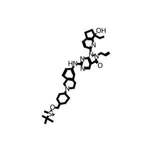 C=CCn1c(=O)c2cnc(Nc3ccc4c(c3)CCN(C3CCC(CO[Si](C)(C)C(C)(C)C)CC3)C4)nc2n1-c1ccc2c(n1)[C@@](O)(CC)CC2